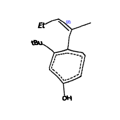 CC/C=C(/C)c1ccc(O)cc1C(C)(C)C